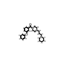 O=C(c1cccc(Oc2ccccc2)c1)N1CCN(CCCN2CCCCC2)CC1